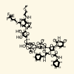 CSCCNc1nc(SCCC(F)(F)F)nc2c1ncn2[C@@H]1O[C@H](COP(=O)(O)OP(=O)(O)OP(=O)(O)OP(=O)(O)OC[C@H]2O[C@@H](n3ccc(=O)[nH]c3=O)[C@H](OC(=O)Nc3ccccc3)[C@@H]2OC(=O)Nc2ccccc2)[C@@H](O)[C@H]1O